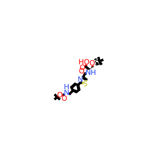 CC(C)(C)OC(=O)NCc1ccc(-c2nc(C(=O)N[C@@H](CO[Si](C)(C)C(C)(C)C)C(=O)O)cs2)cc1